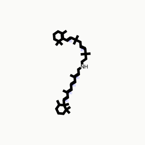 CC1=C(/C=C/C(C)(C)C/C=C/C(C)(C)CCNC/C=C(C)/C=C/C=C(C)/C=C/C2(C)C(C)CCCC2(C)C)C(C)(C)CCC1